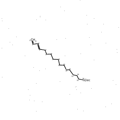 C=CC=CCCCCCCCCCCCCCCCCCCCCCC